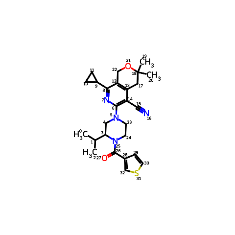 CC(C)C1CN(c2nc(C3CC3)c3c(c2C#N)CC(C)(C)OC3)CCN1C(=O)c1ccsc1